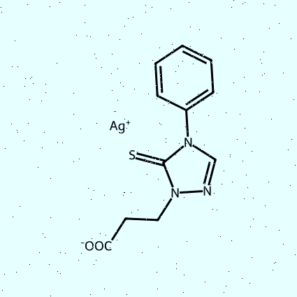 O=C([O-])CCn1ncn(-c2ccccc2)c1=S.[Ag+]